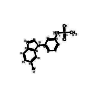 CS(=O)(=O)Nc1cccc(-n2cnc3ccc(Br)cc32)c1